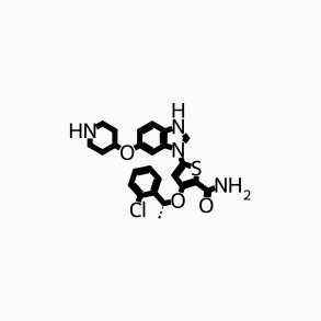 C[C@@H](Oc1cc(N2CNc3ccc(OC4CCNCC4)cc32)sc1C(N)=O)c1ccccc1Cl